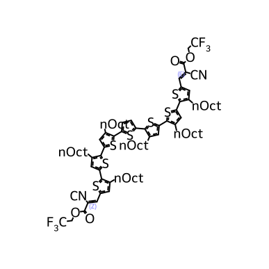 [C-]#[N+]/C(=C\c1cc(CCCCCCCC)c(-c2cc(CCCCCCCC)c(-c3cc(CCCCCCCC)c(-c4ccc(-c5sc(-c6sc(-c7sc(/C=C(\C#N)C(=O)OCC(F)(F)F)cc7CCCCCCCC)cc6CCCCCCCC)cc5CCCCCCCC)s4)s3)s2)s1)C(=O)OCC(F)(F)F